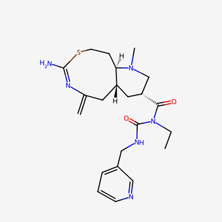 C=C1C[C@H]2C[C@@H](C(=O)N(CC)C(=O)NCc3cccnc3)CN(C)[C@@H]2CCS/C(N)=N\1